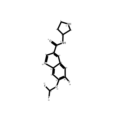 O=C(NC1CCNC1)c1cnc2cc(OC(F)F)c(F)cc2c1